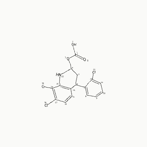 O=C(O)OC1CC(c2ccccc2Cl)c2ccc(Cl)c(Cl)c2N1